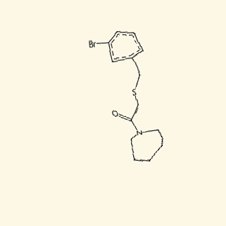 O=C(CSCc1cccc(Br)c1)N1CCCCC1